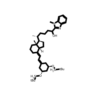 C[C@H](CCCC(O)c1nc2ccccc2n1C)[C@H]1CC[C@H]2/C(=C/C=C3C[C@@H](O[SiH2]C(C)(C)C)C[C@H](O[SiH2]C(C)(C)C)C3)CCC[C@]12C